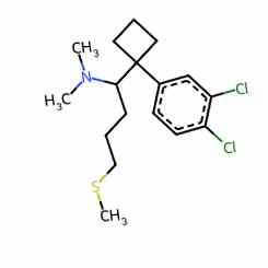 CSCCCC(N(C)C)C1(c2ccc(Cl)c(Cl)c2)CCC1